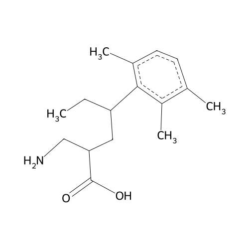 CCC(CC(CN)C(=O)O)c1c(C)ccc(C)c1C